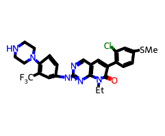 CCn1c(=O)c(-c2ccc(SC)cc2Cl)cc2cnc(Nc3ccc(N4CCNCC4)c(C(F)(F)F)c3)nc21